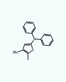 Cc1sc(N(c2ccccc2)c2ccccc2)cc1C(C)(C)C